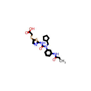 CCC(=O)Nc1cccc(N(CC2CCCC2)C(=O)Nc2ncc(SCC(=O)O)s2)c1